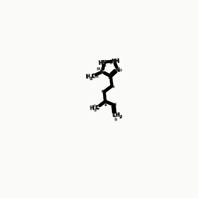 C=CC(C)CCC1=NNNN1C